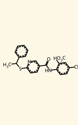 CC(Sc1ccc(C(=O)Nc2ccc(C#N)cc2C(=O)O)cn1)c1ccccc1